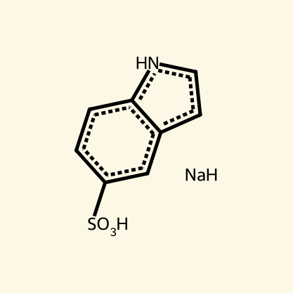 O=S(=O)(O)c1ccc2[nH]ccc2c1.[NaH]